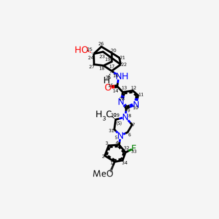 COc1ccc(N2CCN(c3nccc(C(=O)N[C@H]4C5CC6CC4C[C@](O)(C6)C5)n3)[C@@H](C)C2)c(F)c1